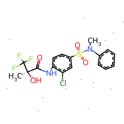 CN(c1ccccc1)S(=O)(=O)c1ccc(NC(=O)[C@@](C)(O)C(F)(F)F)c(Cl)c1